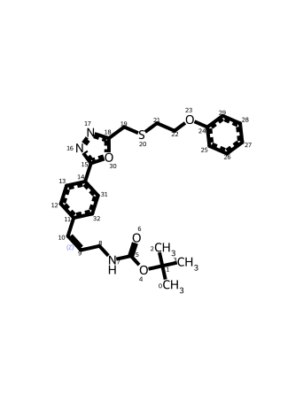 CC(C)(C)OC(=O)NC/C=C\c1ccc(-c2nnc(CSCCOc3ccccc3)o2)cc1